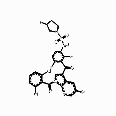 O=C(c1c(F)ccc(NS(=O)(=O)N2CCC(F)C2)c1F)c1cn(C(=O)c2c(Cl)cccc2Cl)c2ncc(Br)cc12